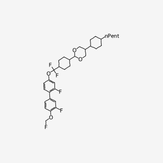 CCCCCC1CCC(C2COC(C3CCC(C(F)(F)Oc4ccc(-c5ccc(OCF)c(F)c5)c(F)c4)CC3)OC2)CC1